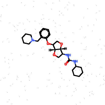 O=C(NC1CCCCC1)N[C@H]1CO[C@H]2[C@@H]1OC[C@@H]2Oc1ccccc1CN1CCCCC1